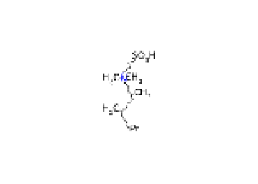 CC(C)CCCC(C)CCCC(C)CCC[N+](C)(C)CCCCS(=O)(=O)O